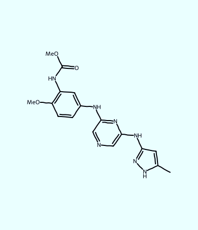 COC(=O)Nc1cc(Nc2cncc(Nc3cc(C)[nH]n3)n2)ccc1OC